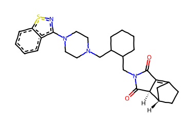 O=C1C2=C3CC[C@@H](C3)[C@H]2C(=O)N1CC1CCCCC1CN1CCN(c2nsc3ccccc23)CC1